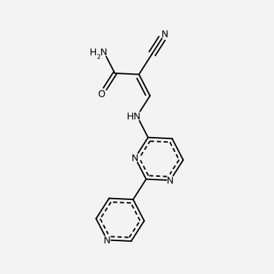 N#CC(=CNc1ccnc(-c2ccncc2)n1)C(N)=O